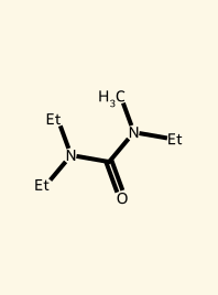 CCN(C)C(=O)N(CC)CC